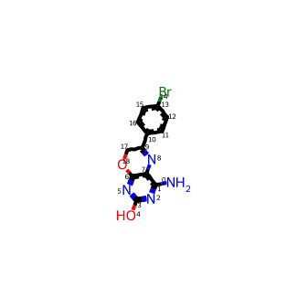 Nc1nc(O)nc2c1N=C(c1ccc(Br)cc1)CO2